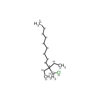 CCCCCCCCCC(CC)(CC)[SiH2]Cl